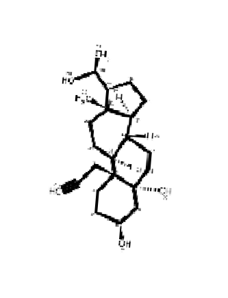 C#CC[C@]12CC[C@H](O)C[C@]1(O)CC[C@H]1[C@@H]3CC[C@H]([C@H](C)O)[C@@]3(C)CC[C@@H]12